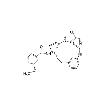 COc1cccc(C(=O)Nc2ccc3cc2CCc2cccc(c2)Nc2ncc(Cl)c(n2)N3)c1